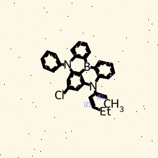 C/C=C(\C=C/CC)N1c2ccccc2B2c3ccccc3N(c3ccccc3)c3cc(Cl)cc1c32